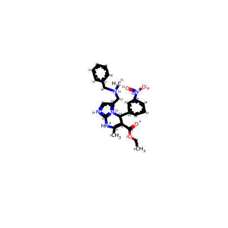 CCOC(=O)C1=C(C)Nc2ncc(CN(C)Cc3ccccc3)n2C1c1cccc([N+](=O)[O-])c1